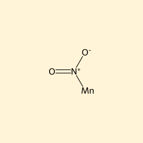 O=[N+]([O-])[Mn]